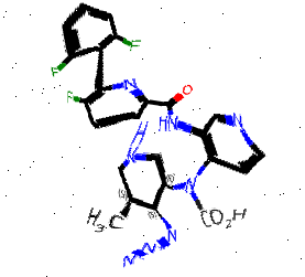 C[C@H]1CNC[C@@H](N(C(=O)O)c2ccncc2NC(=O)c2ccc(F)c(-c3c(F)cccc3F)n2)[C@H]1N=[N+]=[N-]